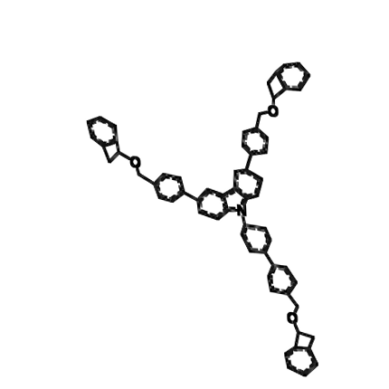 c1ccc2c(c1)CC2OCc1ccc(-c2ccc(-n3c4ccc(-c5ccc(COC6Cc7ccccc76)cc5)cc4c4cc(-c5ccc(COC6Cc7ccccc76)cc5)ccc43)cc2)cc1